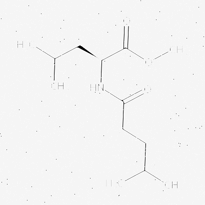 COC(=O)[C@H](CC(C)C)NC(=O)CCC(C)C